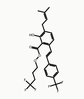 CC(C)=CCc1ccc(C=Cc2ccc(C(F)(F)F)cc2)c(C(=O)OOCCCC(F)(F)F)c1O